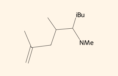 C=C(C)CC(C)C(NC)C(C)CC